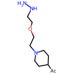 CC(=O)C1CCN(CCOCCNN)CC1